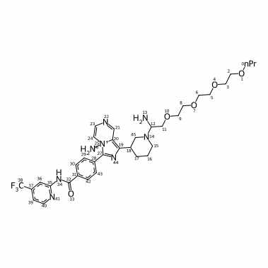 CCCOCCOCCOCCOCC(N)N1CCCC(C2=C3C=NC=C[N+]3(N)C(c3ccc(C(=O)Nc4cc(C(F)(F)F)ccn4)cc3)=N2)C1